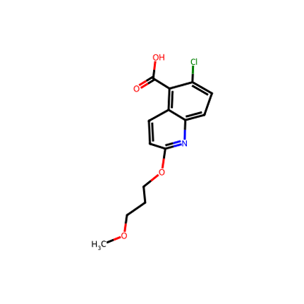 COCCCOc1ccc2c(C(=O)O)c(Cl)ccc2n1